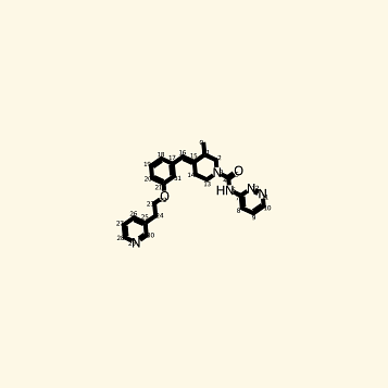 CC1CN(C(=O)Nc2cccnn2)CCC1=Cc1cccc(OCCc2cccnc2)c1